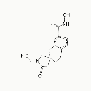 O=C(NO)c1ccc2c(c1)C[C@]1(CC2)CC(=O)N(CC(F)(F)F)C1